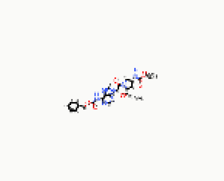 COC(=O)[C@@H]1C[C@@H](NC(=O)OC(C)(C)C)CN1C(=O)Cn1cnc2c(NC(=O)OCc3ccccc3)ncnc21